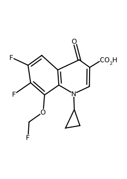 O=C(O)c1cn(C2CC2)c2c(OCF)c(F)c(F)cc2c1=O